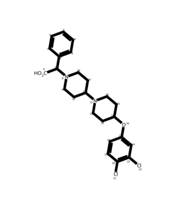 O=C(O)C(c1ccccc1)N1CCC(N2CCC(Oc3ccc(Cl)c(Cl)c3)CC2)CC1